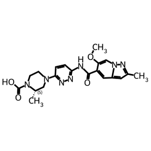 COc1cn2nc(C)cc2cc1C(=O)Nc1ccc(N2CCN(C(=O)O)[C@@H](C)C2)nn1